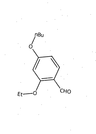 CCCCOc1ccc(C=O)c(OCC)c1